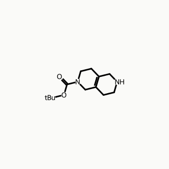 CC(C)(C)OC(=O)N1CCC2=C(CCNC2)C1